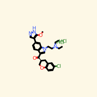 CCN(CC)CCn1cc(C(=O)[C@@H]2COc3ccc(Cl)cc3C2)c2ccc(-c3cn[nH]c3OC)cc21.Cl.Cl